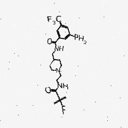 CC(C)(F)C(=O)NCCN1CCC(CNC(=O)c2cc(P)cc(C(F)(F)F)c2)CC1